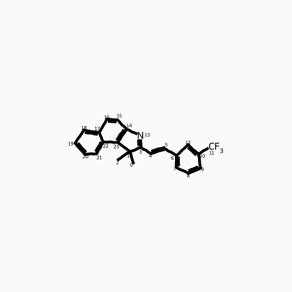 CC1(C)C(/C=C/c2cccc(C(F)(F)F)c2)=Nc2ccc3ccccc3c21